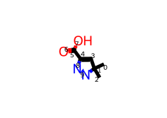 CC1(C)C=C(C(=O)O)N=N1